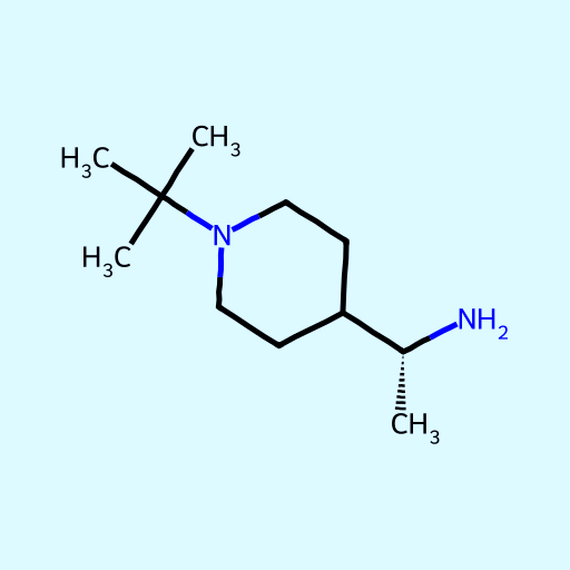 C[C@@H](N)C1CCN(C(C)(C)C)CC1